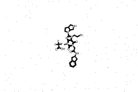 CC(C)CCn1c(N2CCC3CNCC32)nc2c1c(=O)n(CC(=O)NC1Cc3ccccc3C1)c(=O)n2C.O=C(O)C(F)(F)F